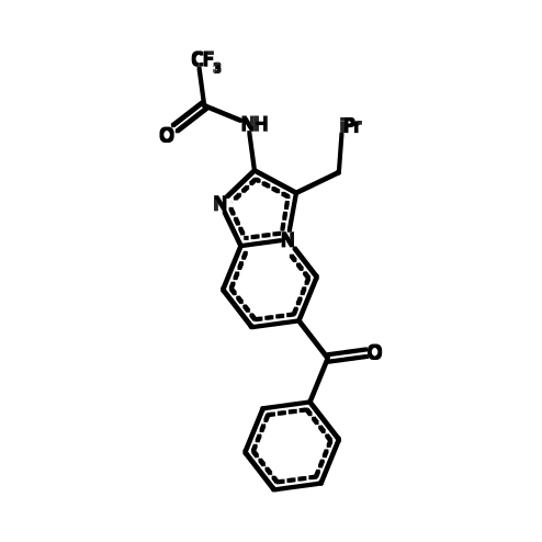 CC(C)Cc1c(NC(=O)C(F)(F)F)nc2ccc(C(=O)c3ccccc3)cn12